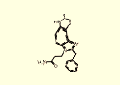 C[C@H]1CCc2c(ccc3c2nc(Cc2ccccc2)n3CCC(N)=O)N1